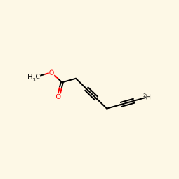 [2H]C#CCC#CCC(=O)OC